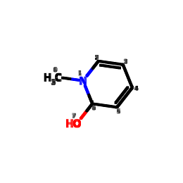 CN1C=CC=C[C]1O